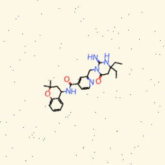 CCC1(CC)CC(=O)N(Cc2cc(C(=O)NC3CC(C)(C)Oc4ccccc43)ccn2)C(=N)N1